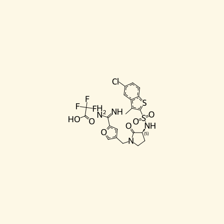 Cc1c(S(=O)(=O)N[C@H]2CCN(Cc3coc(C(=N)N)c3)C2=O)sc2ccc(Cl)cc12.O=C(O)C(F)(F)F